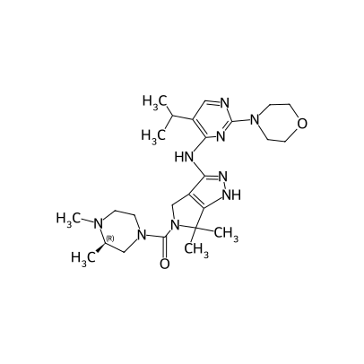 CC(C)c1cnc(N2CCOCC2)nc1Nc1n[nH]c2c1CN(C(=O)N1CCN(C)[C@H](C)C1)C2(C)C